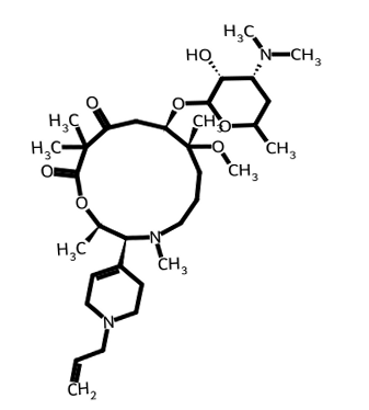 C=CCN1CC=C([C@H]2[C@@H](C)OC(=O)C(C)(C)C(=O)C[C@@H](OC3OC(C)C[C@@H](N(C)C)[C@H]3O)[C@](C)(OC)CCCN2C)CC1